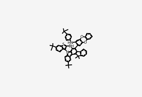 CC(C)(C)c1ccc(Nc2cc3c(cc2-c2c4c(c5c6cc(C(C)(C)C)ccc6n6c5c2Bc2sc5cc(C(C)(C)C)ccc5c2-6)C(C)(C)c2ccccc2-4)Oc2ccccc2O3)cc1